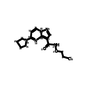 O=C(NOCCCl)c1cnn2ccc(N3CCCC3)nc12